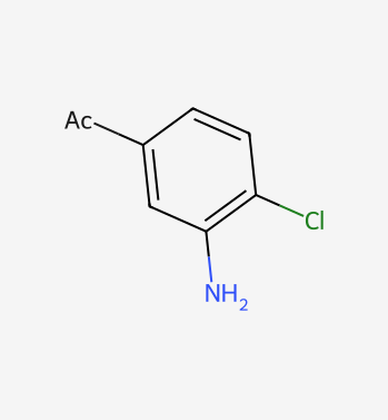 CC(=O)c1ccc(Cl)c(N)c1